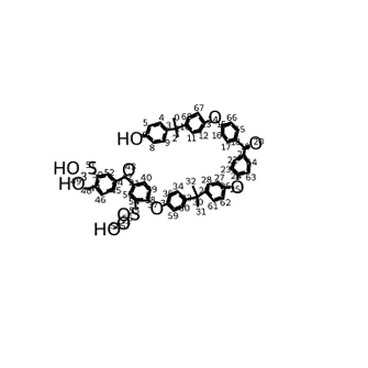 CC(C)(c1ccc(O)cc1)c1ccc(Oc2ccc(C(=O)c3ccc(Oc4ccc(C(C)(C)c5ccc(Oc6ccc(C(=O)c7ccc(CO)c(S(=O)(=O)O)c7)cc6SOOO)cc5)cc4)cc3)cc2)cc1